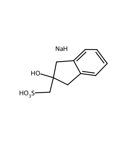 O=S(=O)(O)CC1(O)Cc2ccccc2C1.[NaH]